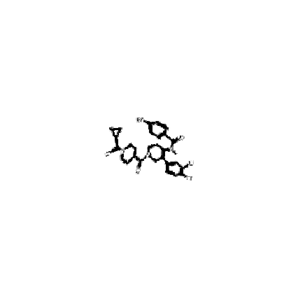 CN(C(=O)c1ccc(Br)cc1)C1CCN(C(=O)C2CCN(C(=O)C3CC3)CC2)CC1c1ccc(Cl)c(Cl)c1